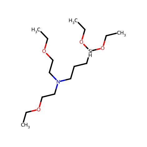 CCOCCN(CCC[SiH](OCC)OCC)CCOCC